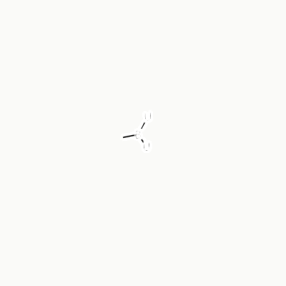 C[B]([U])[U]